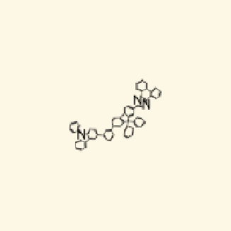 c1ccc(-n2c3ccccc3c3cc(-c4cccc(-c5ccc6c(c5)C(c5ccccc5)(c5ccccc5)c5cc(-c7cnc8c9ccccc9c9ccccc9c8n7)ccc5-6)c4)ccc32)cc1